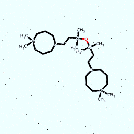 C[Si]1(C)CCCB(CC[Si](C)(C)O[Si](C)(C)CCB2CCC[Si](C)(C)CCC2)CCC1